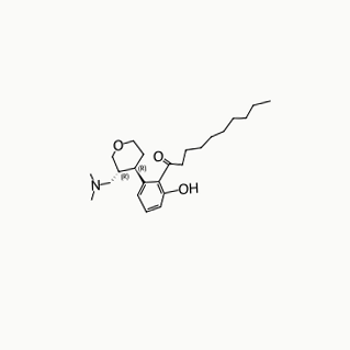 CCCCCCCCCC(=O)c1c(O)cccc1[C@@H]1CCOC[C@H]1CN(C)C